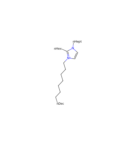 CCCCCCCCCCCCCCCCC[n+]1ccn(CCCCCCC)c1CCCCCC